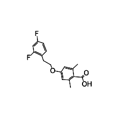 Cc1cc(OCCc2ccc(F)cc2F)cc(C)c1C(=O)O